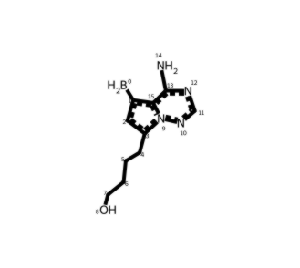 Bc1cc(CCCCO)n2ncnc(N)c12